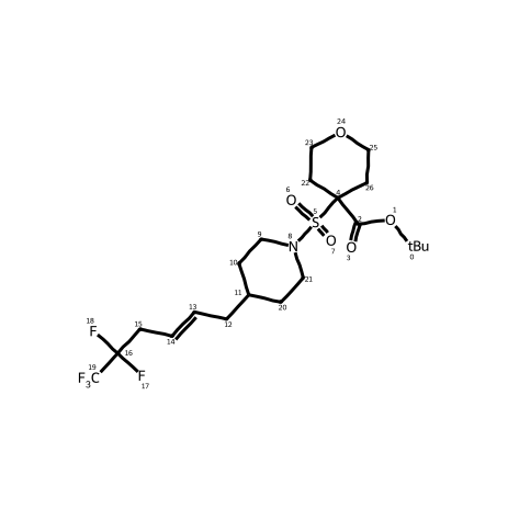 CC(C)(C)OC(=O)C1(S(=O)(=O)N2CCC(CC=CCC(F)(F)C(F)(F)F)CC2)CCOCC1